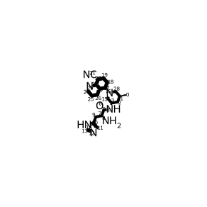 C[C@H]1C[C@@H](NC(=O)[C@@H](N)Cc2cnc[nH]2)CN(c2ccc(C#N)c3ncccc23)C1